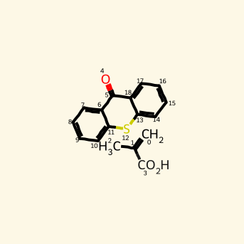 C=C(C)C(=O)O.O=c1c2ccccc2sc2ccccc12